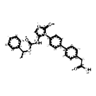 CC(OC(=O)Nc1coc(=O)n1-c1ccc(-c2ccc(CC(=O)O)cc2)cc1)c1ccccc1